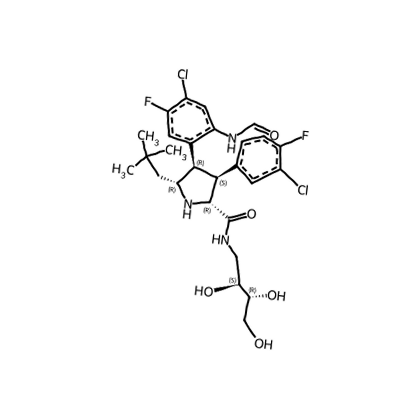 CC(C)(C)C[C@H]1N[C@@H](C(=O)NC[C@H](O)[C@H](O)CO)[C@H](c2ccc(F)c(Cl)c2)[C@@H]1c1cc(F)c(Cl)cc1NC=O